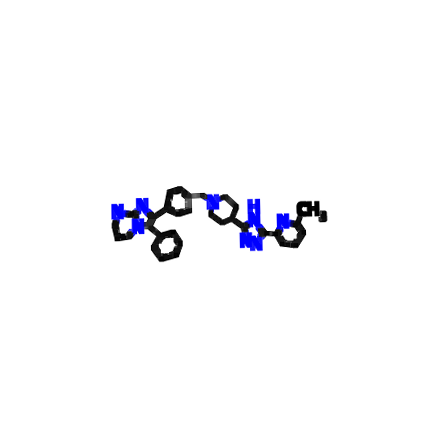 Cc1cccc(-c2nnc(C3CCN(Cc4ccc(-c5nc6ncccn6c5-c5ccccc5)cc4)CC3)[nH]2)n1